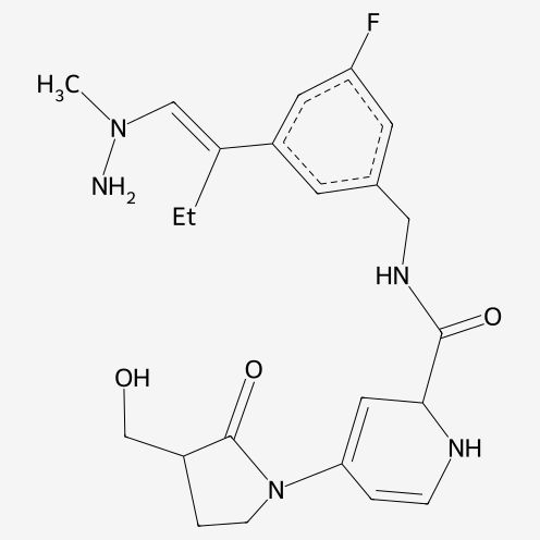 CC/C(=C\N(C)N)c1cc(F)cc(CNC(=O)C2C=C(N3CCC(CO)C3=O)C=CN2)c1